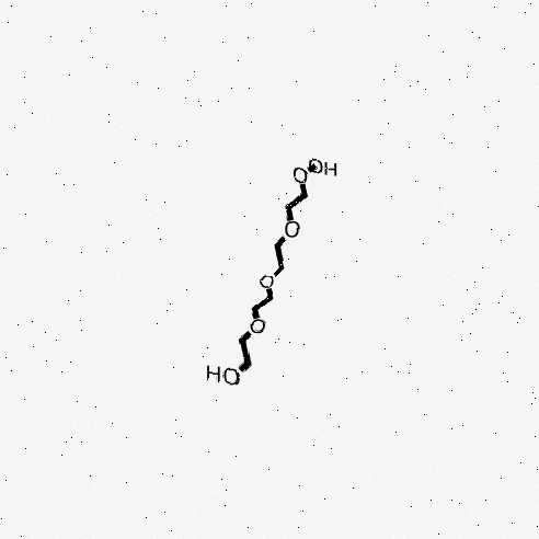 OCCOCCOCCOCCOO